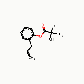 C=CCc1ccccc1OC(=O)C(C)(C)CC